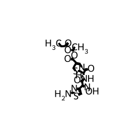 CCC(=O)OC(C)OC(=O)C1=CN2C(=O)C(NC(=O)C(=NO)c3csc(N)n3)[C@H]2SC1